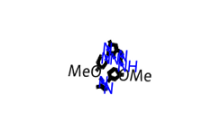 COc1cc(-c2ncc(C)n2C)ccc1Nc1ncc2cc(C)nc(N3CCC(OC)CC3)c2n1